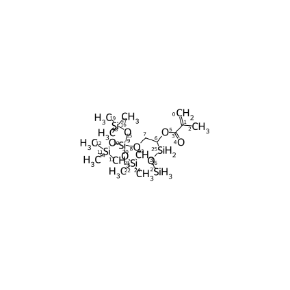 C=C(C)C(=O)OC(CO[Si](O[Si](C)(C)C)(O[Si](C)(C)C)O[Si](C)(C)C)[SiH2]O[SiH3]